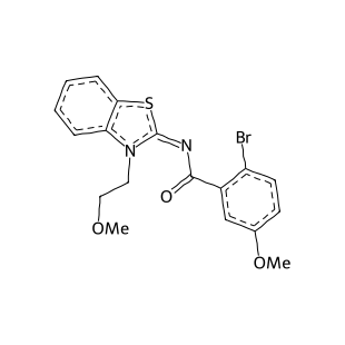 COCCn1c(=NC(=O)c2cc(OC)ccc2Br)sc2ccccc21